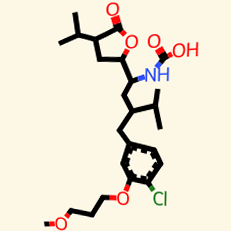 COCCCOc1cc(CC(CC(NC(=O)O)C2CC(C(C)C)C(=O)O2)C(C)C)ccc1Cl